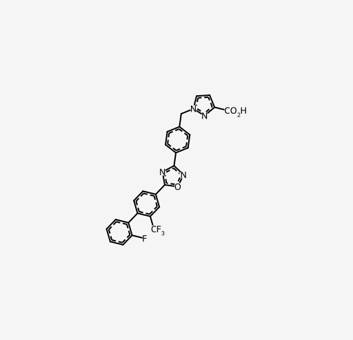 O=C(O)c1ccn(Cc2ccc(-c3noc(-c4ccc(-c5ccccc5F)c(C(F)(F)F)c4)n3)cc2)n1